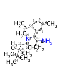 C=Cc1ccc(C)cc1C(C(=C)N)N(C)C(=C)CC(C)(C)C(C)(C)C